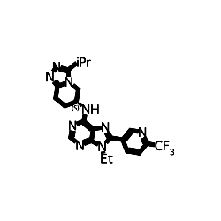 CCn1c(-c2ccc(C(F)(F)F)nc2)nc2c(N[C@H]3CCc4nnc(C(C)C)n4C3)ncnc21